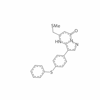 CSCc1cc(=O)n2ncc(-c3ccc(Sc4ccccc4)cc3)c2[nH]1